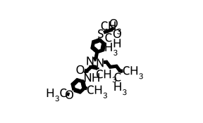 COc1ccc(NC(=O)c2nc(-c3ccc(SC(C)(C)C(=O)O)cc3)n(CCCC(C)C)c2C)c(C)c1